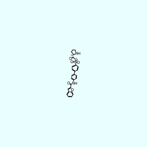 O=C(Nc1ccc(-c2ccc(S(=O)(=O)OC(=O)[C@@H]3CCCN3)cc2)cc1)c1cc2ccccc2o1